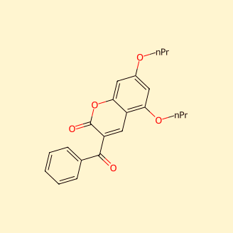 CCCOc1cc(OCCC)c2cc(C(=O)c3ccccc3)c(=O)oc2c1